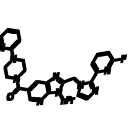 CCCn1c(Cn2ccnc2-c2cccc(F)n2)nc2cc(C(=O)N3CCN(c4ccccn4)CC3)cnc21